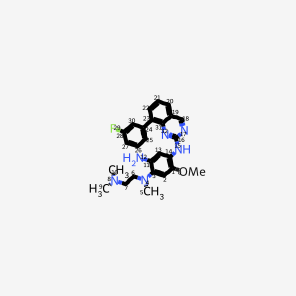 COc1cc(N(C)CCN(C)C)c(N)cc1Nc1ncc2cccc(-c3cccc(F)c3)c2n1